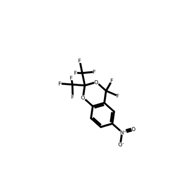 O=[N+]([O-])c1ccc2c(c1)C(F)(F)OC(C(F)(F)F)(C(F)(F)F)O2